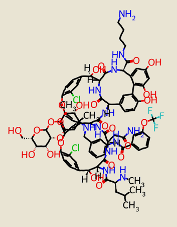 CN[C@@H](CC(C)C)C(=O)N[C@H]1C(=O)N[C@@H](CC(N)=O)C(=O)NC2C(=O)N[C@@H]3C(=O)N[C@@H](C(=O)N[C@@H](C(=O)NCCCCN)c4cc(O)cc(O)c4-c4cc3ccc4O)[C@H](O)c3ccc(c(Cl)c3)Oc3cc2cc(c3OC2O[C@@H](CO)[C@@H](O)[C@@H](O)[C@H]2O[C@H]2CC(C)(NCc3cccc(NC(=O)c4cccc(OC(F)(F)F)c4)c3)[C@@H](O)[C@@H](C)O2)Oc2ccc(cc2Cl)[C@H]1O